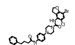 O=C(CCCc1ccccc1)Nc1ccc(N2CCN(C(=O)Nc3c(Cl)cc(Br)c4c3CCO4)CC2)cc1